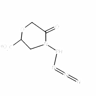 [N-]=[N+]=NPN1CC(C(=O)O)OCC1=O